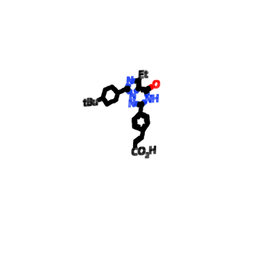 CCc1nc(C2CCC(C(C)(C)C)CC2)n2nc(-c3ccc(C=CC(=O)O)cc3)[nH]c(=O)c12